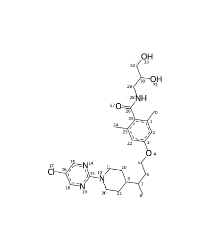 Cc1cc(OCCC(C)C2CCN(c3ncc(Cl)cn3)CC2)cc(C)c1C(=O)NCC(O)CO